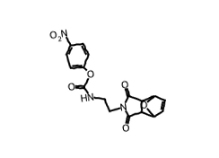 O=C(NCCN1C(=O)C2C3C=CC(O3)C2C1=O)Oc1ccc([N+](=O)[O-])cc1